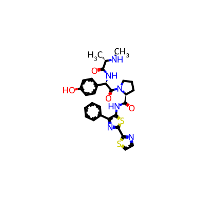 CN[C@@H](C)C(=O)N[C@H](C(=O)N1CCC[C@H]1C(=O)Nc1sc(-c2nccs2)nc1-c1ccccc1)c1ccc(O)cc1